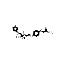 CC(O)(COc1ccsc1)NCCOc1ccc(OCC(N)=O)cc1